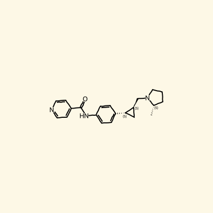 C[C@H]1CCCN1C[C@H]1C[C@@H]1c1ccc(NC(=O)c2ccncc2)cc1